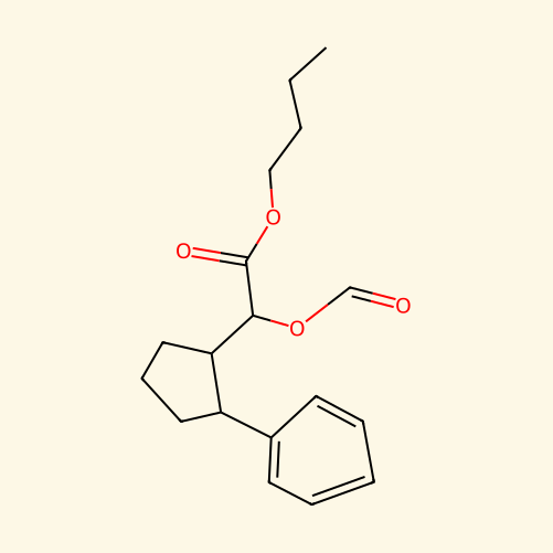 CCCCOC(=O)C(OC=O)C1CCCC1c1ccccc1